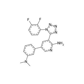 CN(C)c1cccc(-c2cnc(N)c(-c3nnnn3-c3cccc(F)c3F)c2)c1